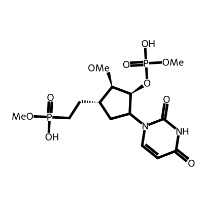 CO[C@@H]1[C@@H](CCP(=O)(O)OC)CC(n2ccc(=O)[nH]c2=O)[C@@H]1OP(=O)(O)OC